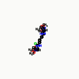 COC(=O)N[C@H](C(=O)N1[C@H](c2ncc(-c3ccc(-c4ccc5cc(-c6[nH]c([C@@H]7C[C@H]8C[C@H]8N7C(=O)[C@@H](NC(=O)OC)C(C)C)nc6Cl)ccc5c4)cc3)[nH]2)C2[C@@H]3[C@H]1[C@]23C)C(C)C